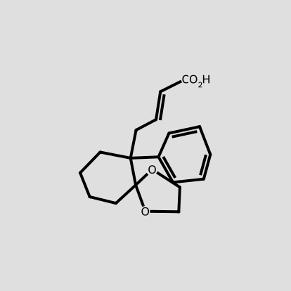 O=C(O)C=CCC1(c2ccccc2)CCCCC12OCCO2